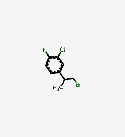 C[C](CBr)c1ccc(F)c(Cl)c1